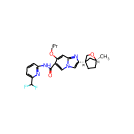 CC(C)Oc1cc2nc([C@@]34CC[C@@](C)(C3)OC4)cn2cc1C(=O)Nc1cccc(C(F)F)n1